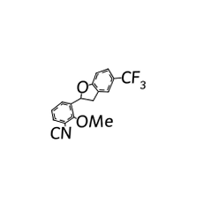 COc1c(C#N)cccc1C1Cc2cc(C(F)(F)F)ccc2O1